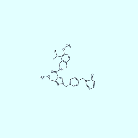 COCc1nn(Cc2ccc(Cn3ccccc3=O)cc2)cc1C(=O)NCc1c(F)ccc(OC)c1C(F)F